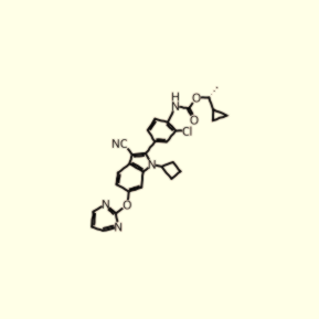 C[C@@H](OC(=O)Nc1ccc(-c2c(C#N)c3ccc(Oc4ncccn4)cc3n2C2CCC2)cc1Cl)C1CC1